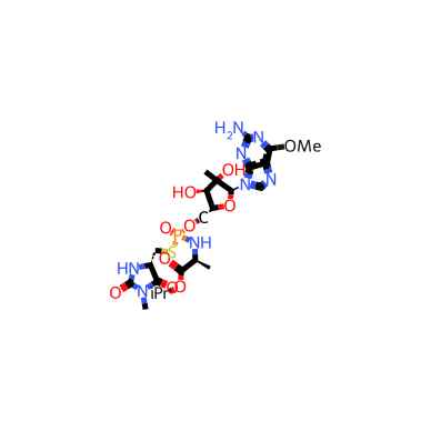 COc1nc(N)nc2c1ncn2[C@@H]1O[C@H](COP(=O)(N[C@@H](C)C(=O)OC(C)C)SC[C@H]2NC(=O)N(C)C2=O)[C@@H](O)C1(C)O